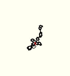 c1cc(-c2ccc(N(c3ccccc3-c3ccc4oc5ccccc5c4c3)c3cccc4ccccc34)cc2)cc(-c2ccc3ccccc3c2)c1